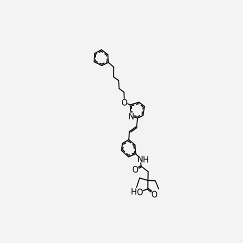 CCC(CC)(CC(=O)Nc1cccc(C=Cc2cccc(OCCCCCc3ccccc3)n2)c1)C(=O)O